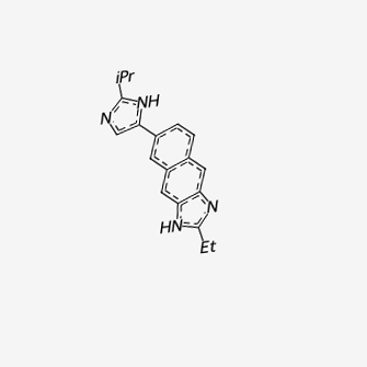 CCc1nc2cc3ccc(-c4cnc(C(C)C)[nH]4)cc3cc2[nH]1